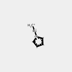 [CH3][Ru][n]1cccc1